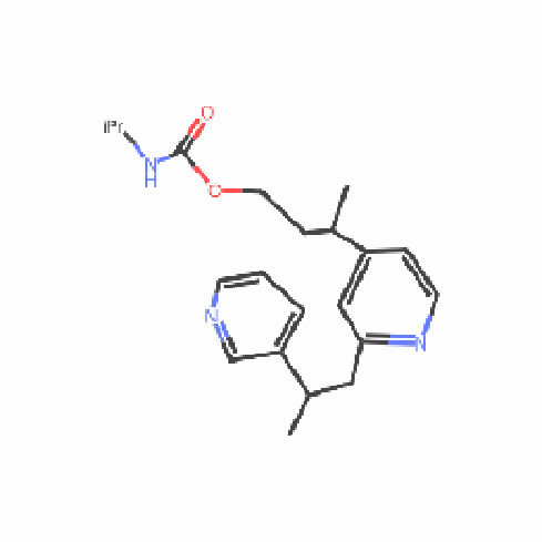 CC(C)NC(=O)OCCC(C)c1ccnc(CC(C)c2cccnc2)c1